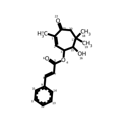 CC1=CC(OC(=O)C=Cc2ccccc2)C(O)C(C)(C)CC1=O